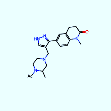 CC(=O)N1CCN(Cc2c[nH]nc2-c2ccc3c(c2)CCC(=O)N3C)CC1C